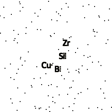 [B].[Cu].[Si].[Zr]